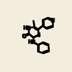 CC1=C(c2ccncc2)SC(Nc2ccccc2)C(=O)N1